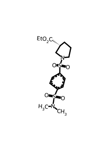 CCOC(=O)[C@@H]1CCCN(S(=O)(=O)c2ccc(S(=O)(=O)N(C)C)cc2)C1